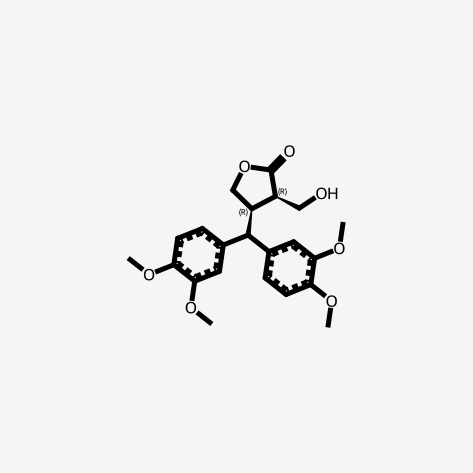 COc1ccc(C(c2ccc(OC)c(OC)c2)[C@H]2COC(=O)[C@H]2CO)cc1OC